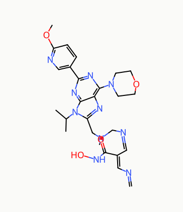 C=N/C=C(\C=N/CN(C)Cc1nc2c(N3CCOCC3)nc(-c3ccc(OC)nc3)nc2n1C(C)C)C(=O)NO